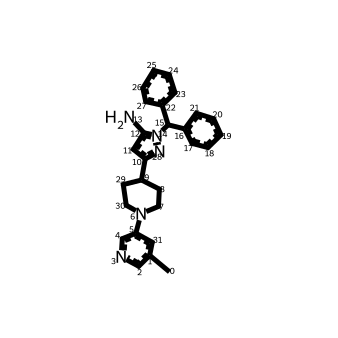 Cc1cncc(N2CCC(c3cc(N)n(C(c4ccccc4)c4ccccc4)n3)CC2)c1